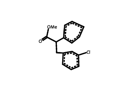 COC(=O)C(Cc1cccc(Cl)c1)c1ccccc1